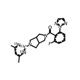 Cc1cc(C)[15n][13c](N2CC3CN(C(=O)c4c(F)cccc4-n4nccn4)CC3C2)[15n]1